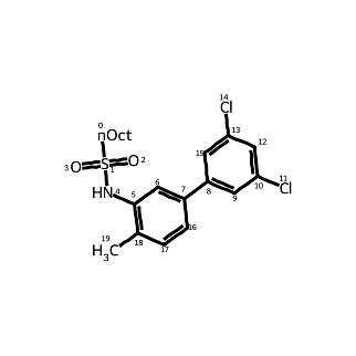 CCCCCCCCS(=O)(=O)Nc1cc(-c2cc(Cl)cc(Cl)c2)ccc1C